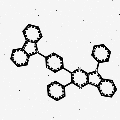 c1ccc(-c2nc3c4ccccc4n(-c4ccccc4)c3nc2-c2ccc(-n3c4ccccc4c4ccccc43)cc2)cc1